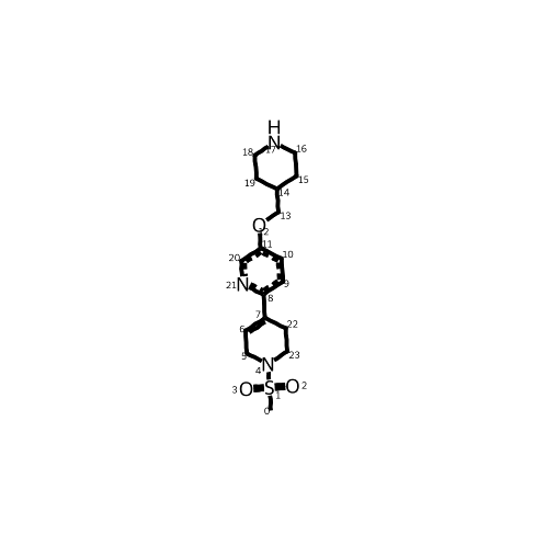 CS(=O)(=O)N1CC=C(c2ccc(OCC3CCNCC3)cn2)CC1